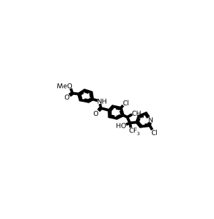 COC(=O)c1ccc(NC(=O)c2ccc(C(C)C(O)(c3ccnc(Cl)c3)C(F)(F)F)c(Cl)c2)cc1